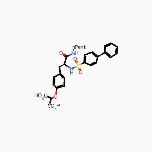 CCCCCNC(=O)[C@H](Cc1ccc(OC(C(=O)O)C(=O)O)cc1)NS(=O)(=O)c1ccc(-c2ccccc2)cc1